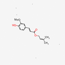 COc1cc(/C=C/C(=O)OCC=C(C)C)ccc1O